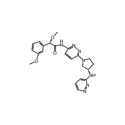 COc1cccc([C@@H](OC)C(=O)Nc2ccc(N3CC[C@@H](Nc4cccnn4)C3)nn2)c1